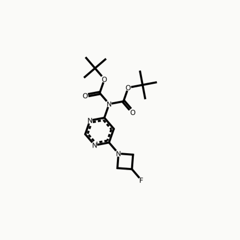 CC(C)(C)OC(=O)N(C(=O)OC(C)(C)C)c1cc(N2CC(F)C2)ncn1